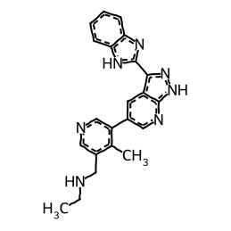 CCNCc1cncc(-c2cnc3[nH]nc(-c4nc5ccccc5[nH]4)c3c2)c1C